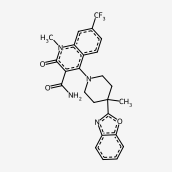 Cn1c(=O)c(C(N)=O)c(N2CCC(C)(c3nc4ccccc4o3)CC2)c2ccc(C(F)(F)F)cc21